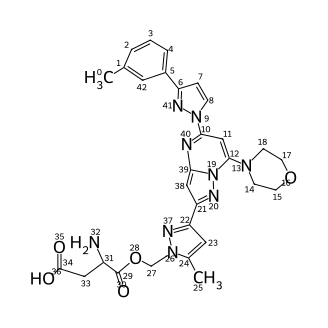 Cc1cccc(-c2ccn(-c3cc(N4CCOCC4)n4nc(-c5cc(C)n(COC(=O)C(N)CC(=O)O)n5)cc4n3)n2)c1